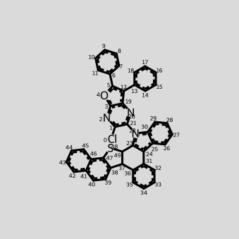 Clc1nc2oc(-c3ccccc3)c(-c3ccccc3)c2nc1-n1c2c(c3ccccc31)-c1ccccc1C1c3ccc4ccccc4c3SC21